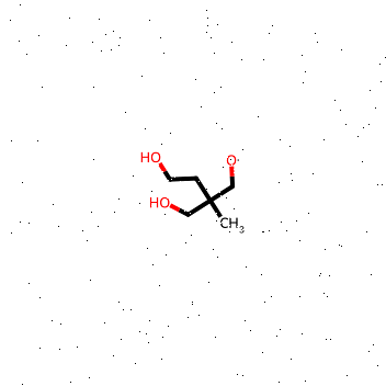 CC(C[O])(CO)CCO